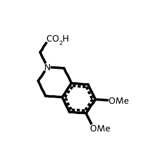 COc1cc2c(cc1OC)CN(CC(=O)O)CC2